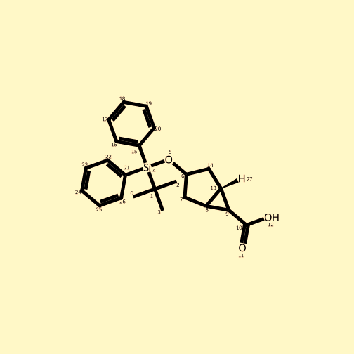 CC(C)(C)[Si](OC1CC2C(C(=O)O)[C@H]2C1)(c1ccccc1)c1ccccc1